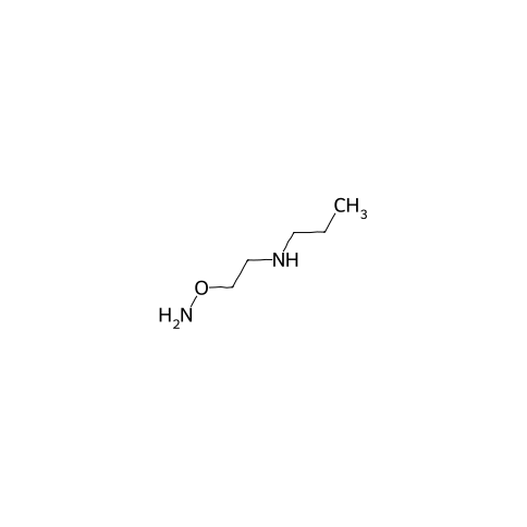 CCCNCCON